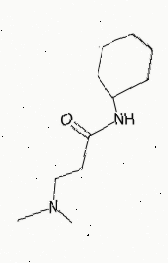 CN(C)CCC(=O)NC1C[CH]CCC1